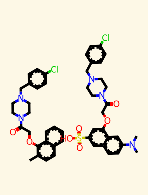 CN(C)c1ccc2cc(S(=O)(=O)O)cc(OCC(=O)N3CCN(Cc4ccc(Cl)cc4)CC3)c2c1.Cc1ccc2ccccc2c1OCC(=O)N1CCN(Cc2ccc(Cl)cc2)CC1